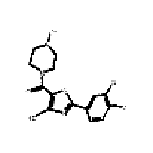 Cc1nc(-c2ccc(Cl)c(Cl)c2)sc1C(=O)N1CCN(C(C)C)CC1